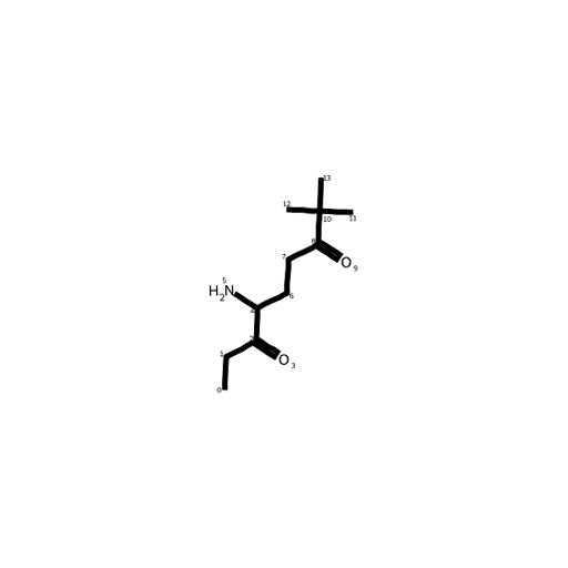 CCC(=O)C(N)CCC(=O)C(C)(C)C